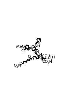 COc1ccc(CNc2nc(N3CCCC3COC(=O)CCCCCO[N+](=O)[O-])ncc2C(=O)NCc2ncccn2)cc1Cl.O=C(O)CC(O)(CC(=O)O)C(=O)O